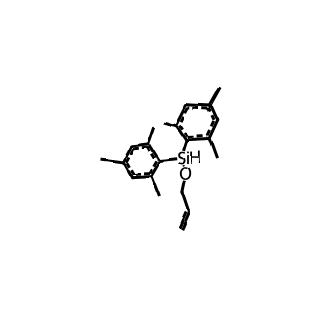 C=CCO[SiH](c1c(C)cc(C)cc1C)c1c(C)cc(C)cc1C